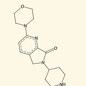 O=C1c2nc(N3CCOCC3)ccc2CN1C1CCNCC1